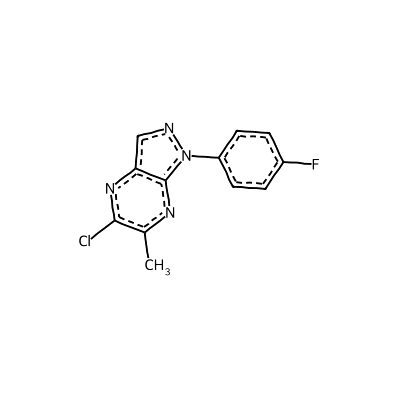 Cc1nc2c(cnn2-c2ccc(F)cc2)nc1Cl